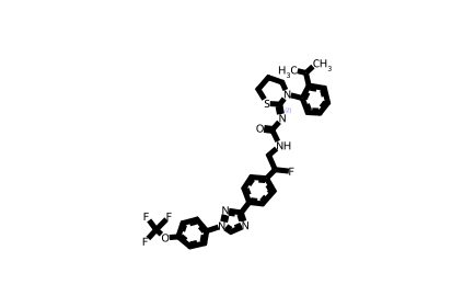 CC(C)c1ccccc1N1CCCS/C1=N\C(=O)NCC(F)c1ccc(-c2ncn(-c3ccc(OC(F)(F)F)cc3)n2)cc1